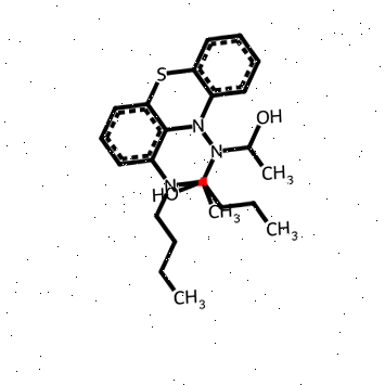 CCCCN(CCCC)c1cccc2c1N(N(C(C)O)C(C)O)c1ccccc1S2